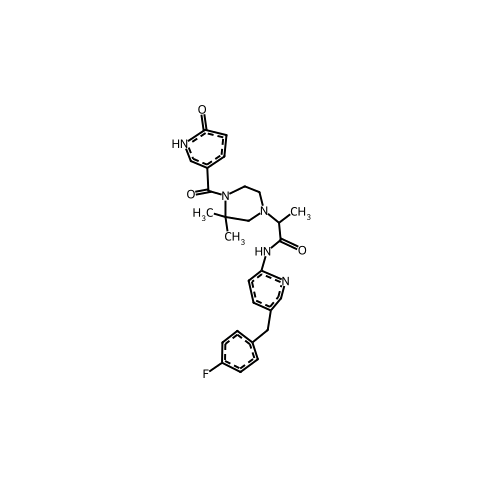 CC(C(=O)Nc1ccc(Cc2ccc(F)cc2)cn1)N1CCN(C(=O)c2ccc(=O)[nH]c2)C(C)(C)C1